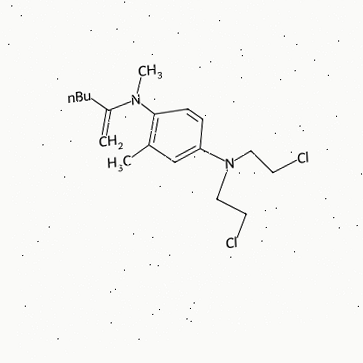 C=C(CCCC)N(C)c1ccc(N(CCCl)CCCl)cc1C